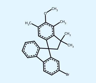 COc1c(C)cc2c(c1C)C(C)(C)CC21c2ccccc2-c2ccc(Br)cc21